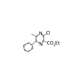 CCOC(=O)c1nc(-c2ccccc2)c(C)nc1Cl